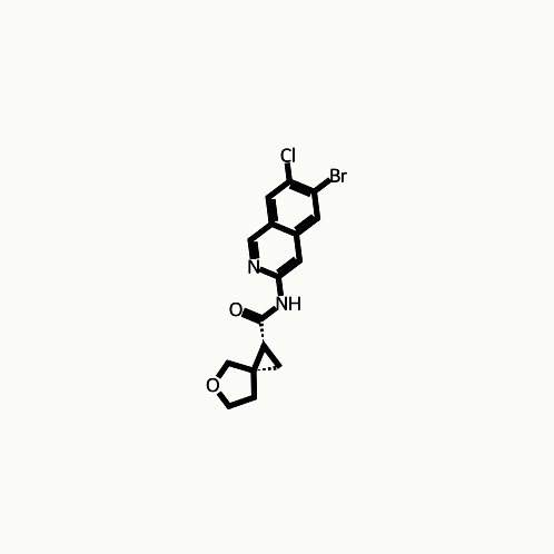 O=C(Nc1cc2cc(Br)c(Cl)cc2cn1)[C@@H]1C[C@@]12CCOC2